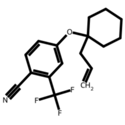 C=CCC1(Oc2ccc(C#N)c(C(F)(F)F)c2)CCCCC1